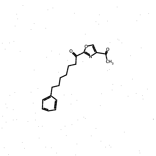 CC(=O)c1coc(C(=O)CCCCCCc2ccccc2)n1